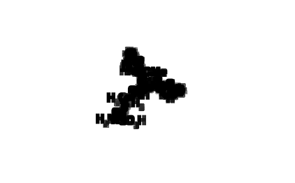 COc1cc2c(cc1OCc1cc(COc3cc4c(cc3OC)C(=O)N3c5ccccc5C[C@H]3CN4)cc(NC(=O)CCC(C)(C)SSCCC(C(=O)NN)S(=O)(=O)O)c1)N=C[C@@H]1Cc3ccccc3N1C2=O